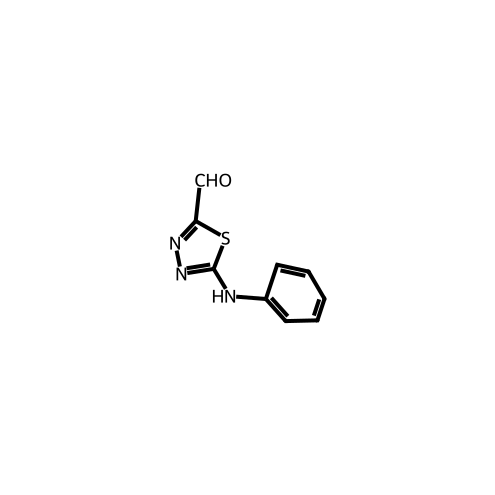 O=Cc1nnc(Nc2ccccc2)s1